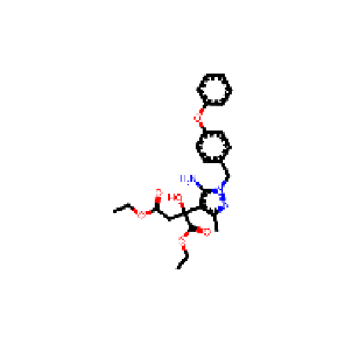 CCOC(=O)CC(O)(C(=O)OCC)c1c(C)nn(Cc2ccc(Oc3ccccc3)cc2)c1N